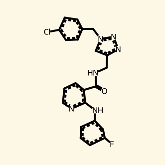 O=C(NCc1cn(Cc2ccc(Cl)cc2)nn1)c1cccnc1Nc1cccc(F)c1